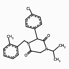 Cc1ccccc1CN1C(=O)CN(C(C)C)C(=O)C1c1ccc(Cl)cc1